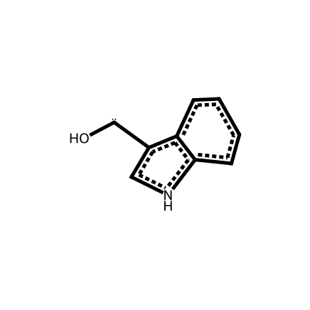 O[C]c1c[nH]c2ccccc12